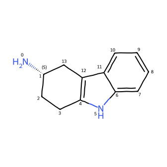 N[C@H]1CCc2[nH]c3ccccc3c2C1